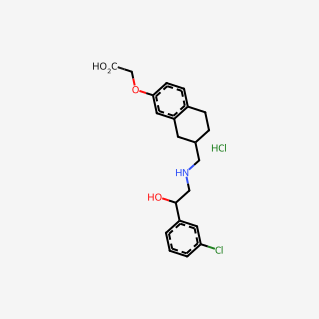 Cl.O=C(O)COc1ccc2c(c1)CC(CNCC(O)c1cccc(Cl)c1)CC2